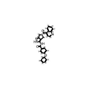 O=C(Nc1[nH]nc2c1CN(C(=O)c1ccnc3ccccc13)C2)c1ccc(Oc2ccccc2)cc1